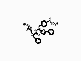 CC(C)(C)OC(=O)NC[C@H](Cc1ccccc1)C(=O)N[C@@H](Cc1ccc(NS(=O)(=O)O)cc1)c1nc(-c2ccccc2)cs1